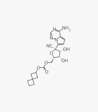 N#C[C@@]1(c2ccc3c(N)ncnn23)O[C@H](COC(=O)OC2CC3(CCC3)C2)[C@@H](O)[C@H]1O